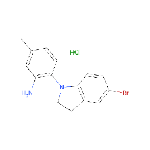 Cc1ccc(N2CCc3cc(Br)ccc32)c(N)c1.Cl